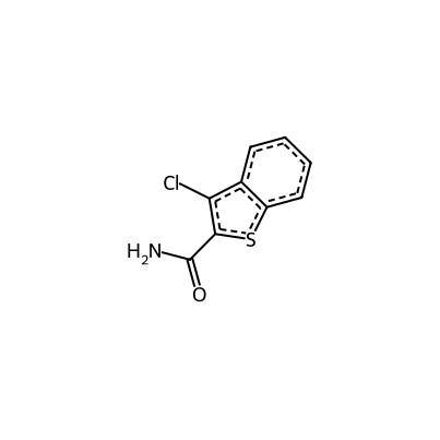 NC(=O)c1sc2ccccc2c1Cl